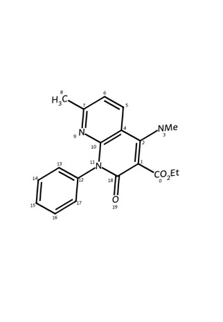 CCOC(=O)c1c(NC)c2ccc(C)nc2n(-c2ccccc2)c1=O